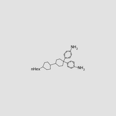 CCCCCCC1CCC(C2CCC(c3ccc(N)cc3)(c3ccc(N)cc3)CC2)CC1